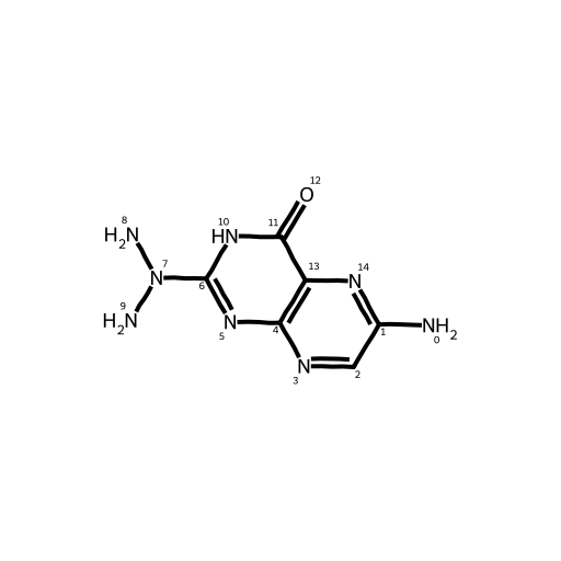 Nc1cnc2nc(N(N)N)[nH]c(=O)c2n1